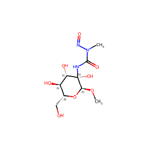 CO[C@H]1O[C@H](CO)[C@@H](O)[C@H](O)[C@@]1(O)NC(=O)N(C)N=O